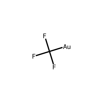 F[C](F)(F)[Au]